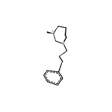 C[C@H]1CCCN(CCCc2ccccc2)C1